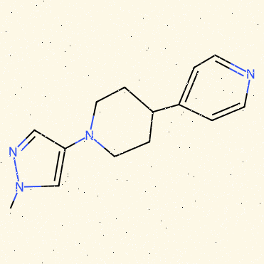 Cn1cc(N2CCC(c3ccncc3)CC2)cn1